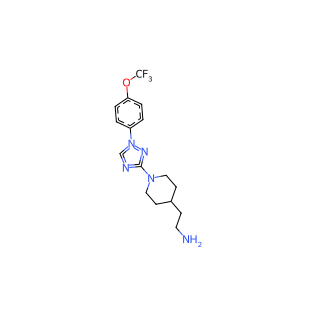 NCCC1CCN(c2ncn(-c3ccc(OC(F)(F)F)cc3)n2)CC1